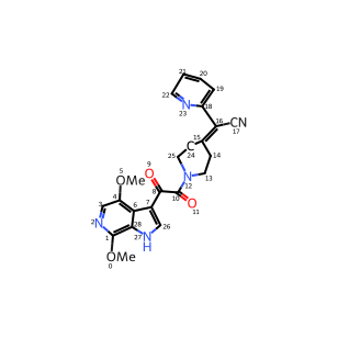 COc1ncc(OC)c2c(C(=O)C(=O)N3CCC(=C(C#N)c4ccccn4)CC3)c[nH]c12